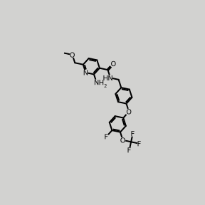 COCc1ccc(C(=O)NCc2ccc(Oc3ccc(F)c(OC(F)(F)F)c3)cc2)c(N)n1